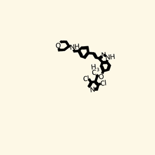 CC(Oc1ccc2[nH]nc(/C=C/c3ccc(CNC4CCOCC4)cc3)c2c1)c1c(Cl)cncc1Cl